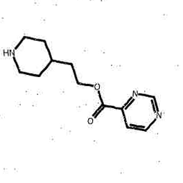 O=C(OCCC1CCNCC1)c1ccncn1